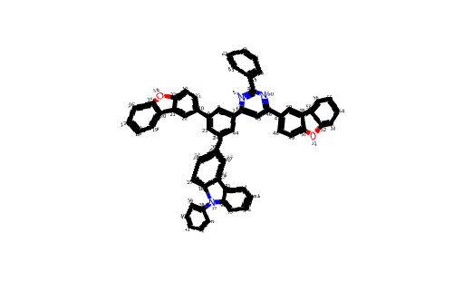 c1ccc(-c2nc(-c3cc(-c4ccc5oc6ccccc6c5c4)cc(-c4ccc5c(c4)c4ccccc4n5-c4ccccc4)c3)cc(-c3ccc4oc5ccccc5c4c3)n2)cc1